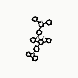 C1=CC(c2cc(-c3ccccc3)nc(-c3ccccc3)n2)CC=C1n1c2ccccc2c2c(C3=CC=C(n4c5ccccc5c5ccccc54)CC3)cc3c4ccccc4oc3c21